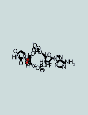 COOP1(=O)OC[C@H]2O[C@@H](n3cnc4c(N)ncnc43)[C@H](F)[C@@H]2O[PH](=O)OC[C@H]2O[C@@H](n3ccc(=O)[nH]c3=O)[C@H](O1)[C@@H]2F